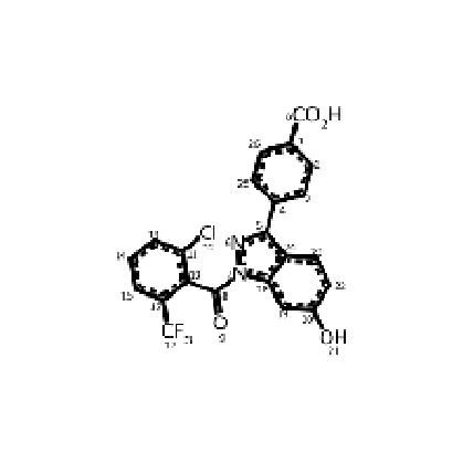 O=C(O)c1ccc(-c2nn(C(=O)c3c(Cl)cccc3C(F)(F)F)c3cc(O)ccc23)cc1